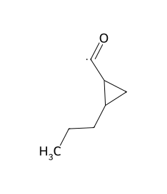 CCCC1CC1[C]=O